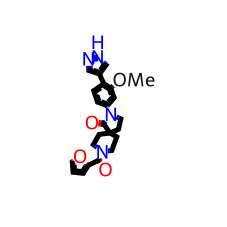 COc1cc(N2CCC3(CCN(C(=O)c4ccco4)CC3)C2=O)ccc1-c1cn[nH]c1